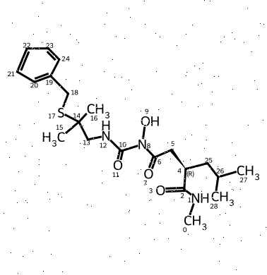 CNC(=O)[C@@H](CC(=O)N(O)C(=O)NCC(C)(C)SCc1ccccc1)CC(C)C